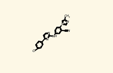 Cc1cn(-c2ccc(Nc3nccc(-c4ccc(Cl)cc4)n3)cc2C#N)cn1